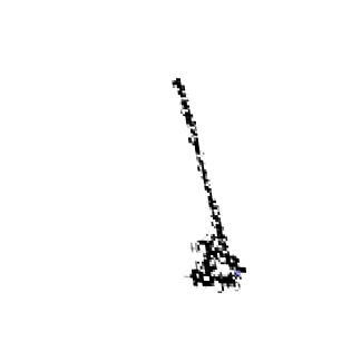 CC[C@@]1(O)c2cc3n(c(=O)c2COC1O)Cc1c-3nc2cc(F)c(C)c3c2c1[C@H](NC(=O)C(C)(C)C(=O)N/N=C(/C)c1ccc(OCCOCCOCCOCCOCCOCCOCCOCCOCCOCCOCCOCCC(C)C)cc1)CC3